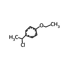 CCOc1ccc(C(C)Cl)cc1